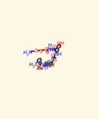 CCCO[C@H](CC(C(C)C)N(CCC)C(=O)[C@@H](NC(=O)[C@H]1CCCCN1C)[C@@H](C)CC)c1nc(C(=O)N[C@H]2Cc3ccc(O)cc3[C@H](C(=O)NNC(=O)OCCOCCOCCN)C2)cs1